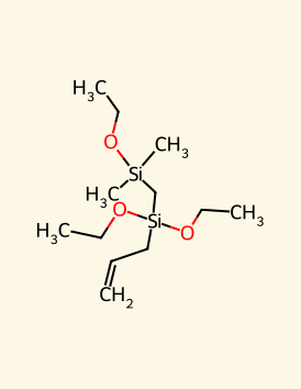 C=CC[Si](C[Si](C)(C)OCC)(OCC)OCC